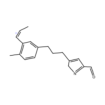 C/C=C\c1cc(CCCC2=CC(C=O)=NC2)ccc1C